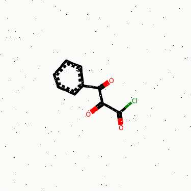 O=C(Cl)C(=O)C(=O)c1ccccc1